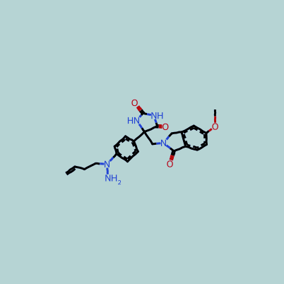 C=CCCN(N)c1ccc(C2(CN3Cc4cc(OC)ccc4C3=O)NC(=O)NC2=O)cc1